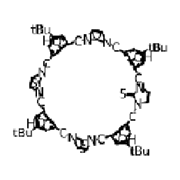 CC(C)(C)c1cc2c(O)c(c1)CN1CCN(Cc3cc(C(C)(C)C)cc(c3O)CN3CCN(Cc4cc(C(C)(C)C)cc(c4O)CN4CCN(Cc5cc(C(C)(C)C)cc(c5O)CN5CCN(C2)C5=O)C4=S)C3=S)C1=S